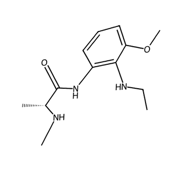 CCNc1c(NC(=O)[C@@H](C)NC)cccc1OC